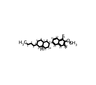 CCCCC1CCC2C[C@H](c3ccc4c(F)c(OC)c(F)cc4c3)CC[C@@H]2C1